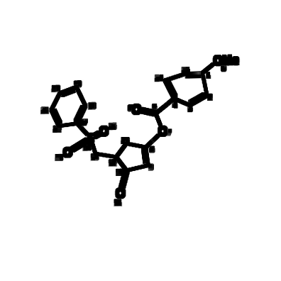 COc1ccc(C(=O)OC2=CC(=O)C(CS(=O)(=O)c3ccccc3)C2)cc1